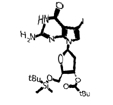 CC(C)(C)C(=O)O[C@H]1CC(n2cc(I)c3c(=O)[nH]c(N)nc32)O[C@@H]1CO[Si](C)(C)C(C)(C)C